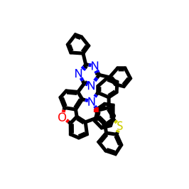 c1ccc(-c2nc(-c3ccccc3)nc(-c3ccc4oc5cccc(-c6cccc7sc8ccccc8c67)c5c4c3-n3c4ccccc4c4ccccc43)n2)cc1